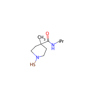 CC(C)NC(=O)C1(C)CCN(S)CC1